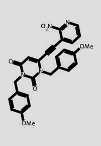 COc1ccc(Cn2c(C#Cc3cccnc3[N+](=O)[O-])cc(=O)n(Cc3ccc(OC)cc3)c2=O)cc1